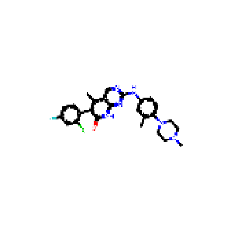 Cc1cc(Nc2ncc3c(C)c(-c4ccc(F)cc4Cl)c(=O)[nH]c3n2)ccc1N1CCN(C)CC1